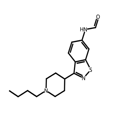 CCCCN1CCC(c2nsc3cc(NC=O)ccc23)CC1